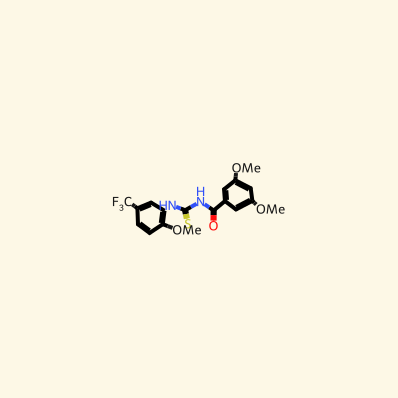 COc1cc(OC)cc(C(=O)NC(=S)Nc2cc(C(F)(F)F)ccc2OC)c1